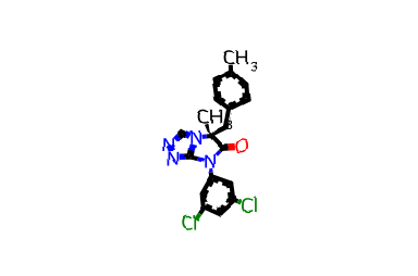 Cc1ccc(C[C@]2(C)C(=O)N(c3cc(Cl)cc(Cl)c3)c3nncn32)cc1